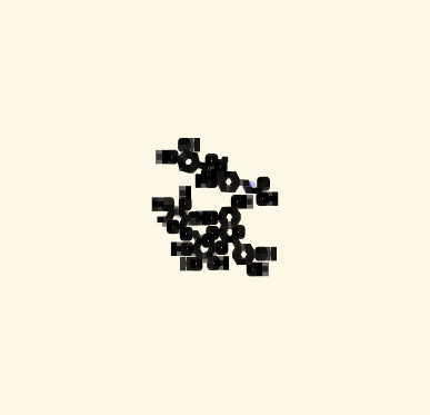 COc1cc(/C=C/C(=O)O)ccc1O.C[C@@H]1O[C@@H](OC[C@H]2O[C@@H](Oc3c(-c4ccc(O)c(O)c4)oc4cc(O)cc(O)c4c3=O)[C@H](O)[C@@H](O)[C@@H]2O)[C@H](O)[C@H](O)[C@H]1O.O=C(O)c1ccc(O)c(O)c1